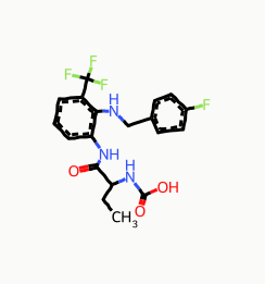 CCC(NC(=O)O)C(=O)Nc1cccc(C(F)(F)F)c1NCc1ccc(F)cc1